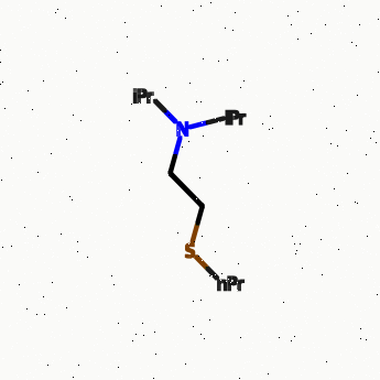 CCCSCCN(C(C)C)C(C)C